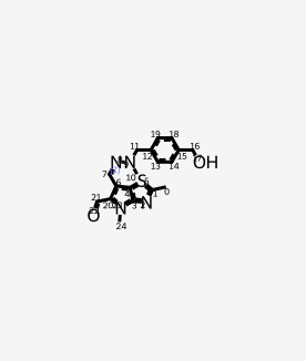 Cc1nc2c(s1)c(/C=N\N(C)Cc1ccc(CO)cc1)c(C=O)n2C